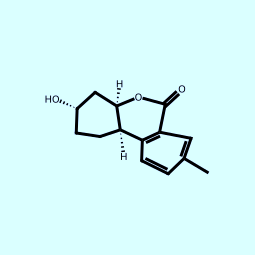 Cc1ccc2c(c1)C(=O)O[C@@H]1C[C@@H](O)CC[C@H]21